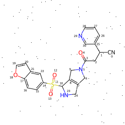 N#CC(CC(=O)N1CC2=C(C1)C(S(=O)(=O)c1ccc3occc3c1)NC2)c1cccnc1